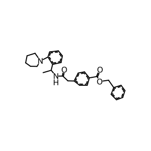 CC(NC(=O)Cc1ccc(C(=O)OCc2ccccc2)cc1)c1ccccc1N1CCCCC1